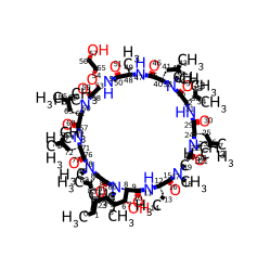 C/C=C/C[C@@H](C)[C@@H](O)[C@H]1C(=O)N[C@@H](CC)C(=O)N(C)CC(=O)N(C)[C@@H](CC(C)C)C(=O)N[C@@H](C(C)C)C(=O)N(C)[C@@H](CC(C)C)C(=O)N[C@@H](C)C(=O)N[C@H](OCCO)C(=O)N(C)[C@@H](CC(C)C)C(=O)N(C)[C@@H](CC(C)C)C(=O)N(C)[C@@H](C(C)C)C(=O)N1C